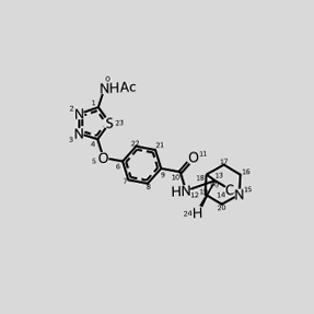 CC(=O)Nc1nnc(Oc2ccc(C(=O)N[C@H]3CN4CCC3CC4)cc2)s1